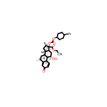 CC(C)C1CCC(OC(=O)O[C@]2(C(=O)OCC#N)[C@H](C)C[C@H]3[C@@H]4C[C@H](F)C5=CC(=O)C=C[C@]5(C)[C@@]4(F)[C@@H](O)C[C@@]32C)CC1